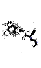 C#C/C(=C\C=C/C)C(=O)NC1=N[C@@H]2[C@@H](O)[C@H](O)[C@@H](CO)O[C@@H]2S1